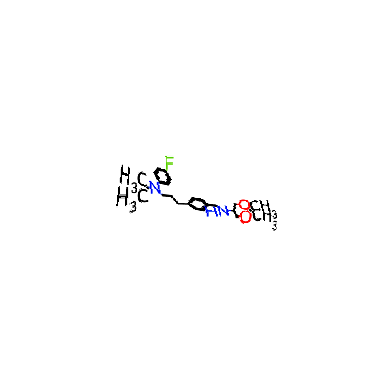 CC(C)N(CCCc1ccc(CNC2COC(C)(C)OC2)cc1)c1ccc(F)cc1